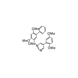 COc1cc(OC)c(-c2ccccc2)cc1OC.COc1ccc(OC)c(-c2cncnc2)c1